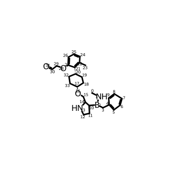 CNB(Cc1ccccc1)C1CCNC1CO[C@H]1CC[C@@H](c2c(C)cccc2OCC=O)CC1